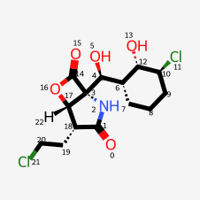 O=C1N[C@@]2([C@@H](O)[C@H]3CCC[C@H](Cl)[C@H]3O)C(=O)O[C@H]2[C@H]1CCCl